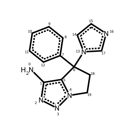 Nc1nnn2c1C(c1ccccc1)(n1ccnc1)CC2